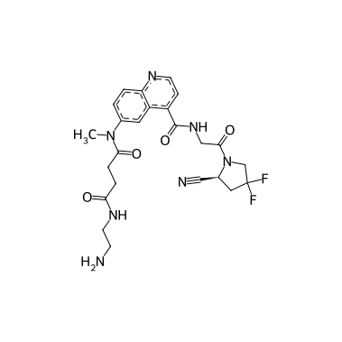 CN(C(=O)CCC(=O)NCCN)c1ccc2nccc(C(=O)NCC(=O)N3CC(F)(F)C[C@H]3C#N)c2c1